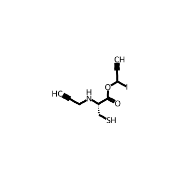 C#CCN[C@@H](CS)C(=O)OC(I)C#C